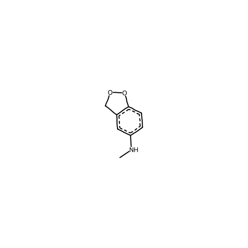 CNc1ccc2c(c1)COO2